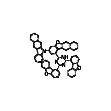 c1ccc2cc3c(cc2c1)oc1cc(-n2c4ccccc4c4cc5ccccc5cc42)cc(C2=NC(c4cccc5oc6ccccc6c45)=NC(c4cccc5oc6ccccc6c45)N2)c13